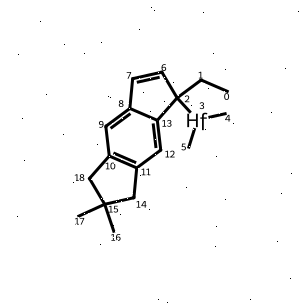 CC[C]1([Hf]([CH3])[CH3])C=Cc2cc3c(cc21)CC(C)(C)C3